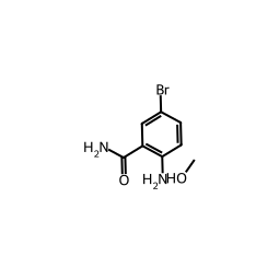 CO.NC(=O)c1cc(Br)ccc1N